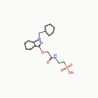 O=C(COc1nn(Cc2ccccc2)c2ccccc12)NCCS(=O)(=O)O